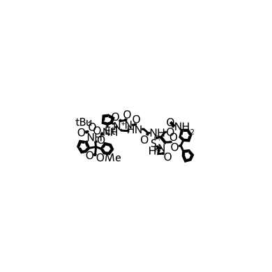 CC[N+]1(c2ccccc2NC(=O)OCC(C(=O)OC)(c2ccccc2)c2ccccc2NC(=O)OC(C)(C)C)CCN(C(=O)NCC(=O)N[C@@H]2S[C@H]3CC(=O)N3C(C(=O)OC(c3ccccc3)c3ccccc3)=C2COC(N)=O)C(=O)C1=O